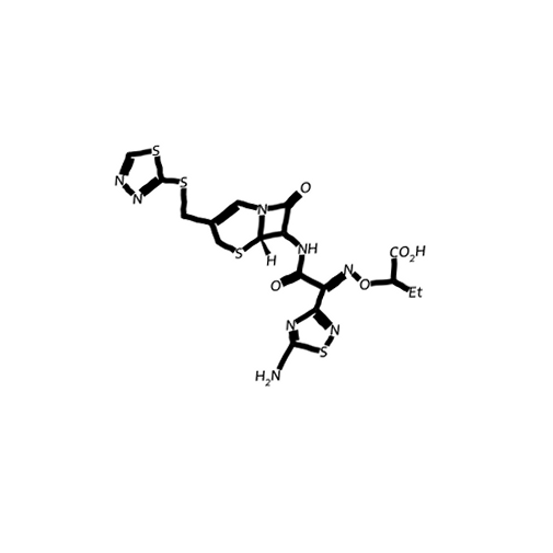 CCC(ON=C(C(=O)NC1C(=O)N2C=C(CSc3nncs3)CS[C@@H]12)c1nsc(N)n1)C(=O)O